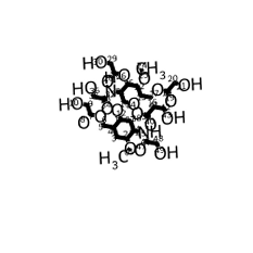 COC1CC(COC(=O)CO)C(OC2OC(COC(=O)CO)C(OC)C(OC(=O)CO)C2NC(=O)CO)C(OC(=O)CCO)C1NC(=O)CO